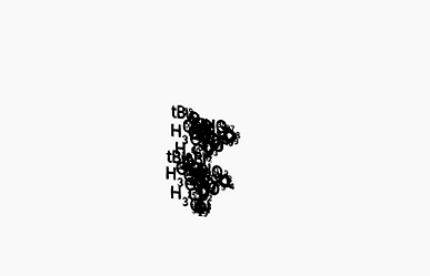 COc1ccccc1C(=O)Cn1c(=O)n(C(C)(C)C(=O)OC(C)(C)C)c(=O)c2c(C)c(-c3ncco3)ccc21.COc1ccccc1C(=O)Cn1c(=O)n(C(C)(C)C(=O)OC(C)(C)C)c(=O)c2c(C)c(Br)ccc21